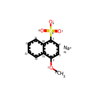 COc1ccc(S(=O)(=O)[O-])c2ccccc12.[Na+]